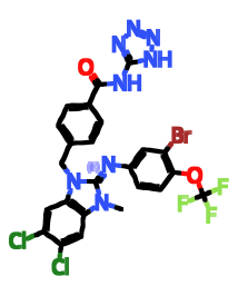 Cn1/c(=N\c2ccc(OC(F)(F)F)c(Br)c2)n(Cc2ccc(C(=O)Nc3nnn[nH]3)cc2)c2cc(Cl)c(Cl)cc21